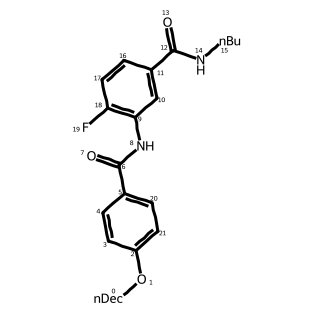 CCCCCCCCCCOc1ccc(C(=O)Nc2cc(C(=O)NCCCC)ccc2F)cc1